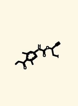 C#CC(CI)OC(=O)Nc1cc(C)c(C(=O)CC)c(C)c1